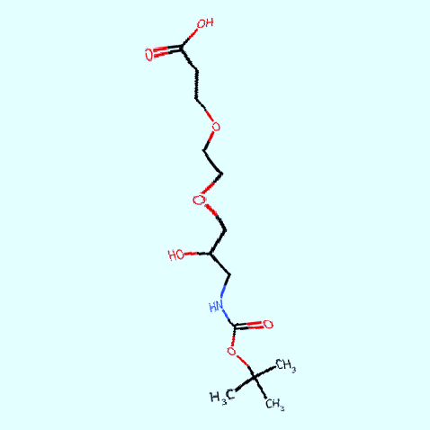 CC(C)(C)OC(=O)NCC(O)COCCOCCC(=O)O